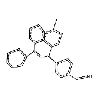 Cc1ccc(N(C=C(c2ccccc2)c2ccccc2)c2ccc(C=N)cc2)cc1